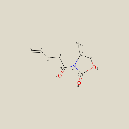 C=CCCC(=O)N1C(=O)OCC1C(C)C